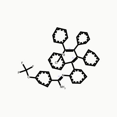 N/C(=N\c1ccccc1/C(=C(/C(=[C](\[Pd][Cl])c1ccccc1)c1ccccc1)c1ccccc1)c1ccccc1)c1ccc(OC(F)(F)F)cc1